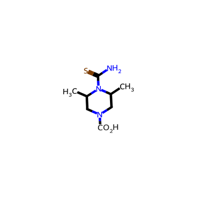 CC1CN(C(=O)O)CC(C)N1C(N)=S